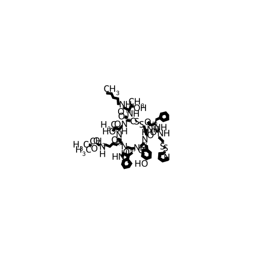 CCCCCCNC(=O)[C@@H](NC(=O)[C@@H]1CSSC[C@H](NC(=O)[C@@H](Cc2ccccc2)NC(=O)NCCSSc2ccccn2)C(=O)N[C@@H](Cc2ccc(O)cc2)C(=O)N[C@H](Cc2c[nH]c3ccccc23)C(=O)N[C@@H](CCCCNC(=O)OC(C)(C)C)C(=O)N[C@@H]([C@@H](C)O)C(=O)N1)[C@@H](C)O